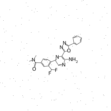 CN(C)C(=O)c1ccc(-c2cnc(N)c(-c3nnc(-c4ccccc4)o3)n2)c(C(F)F)c1